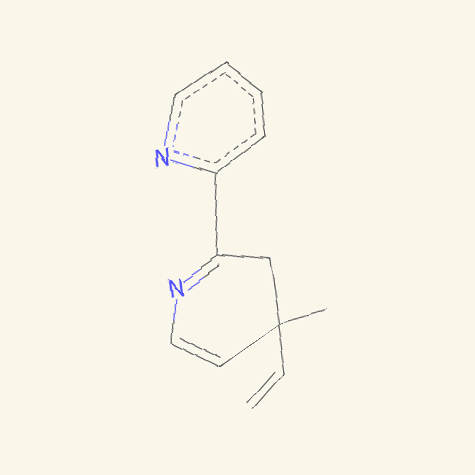 C=CC1(C)C=CN=C(c2ccccn2)C1